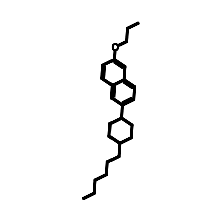 CCCCCCC1CCC(c2ccc3cc(OCCC)ccc3c2)CC1